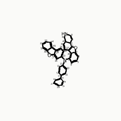 C1=CC2c3oc4cccc(N(c5ccc(-c6ccccc6)cc5)c5ccc6c(c5)oc5ccccc56)c4c3C=CC2CN1